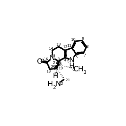 C[C@H]1C[C@@]23c4[nH]c5ccccc5c4CCN2C(=O)C[C@H]3[C@@H]1CN